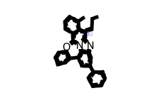 CC/C=c1\c2c(C)cccc2c(=O)n2c1nc1cc(-c3ccccc3)cc(-c3ccccc3)c12